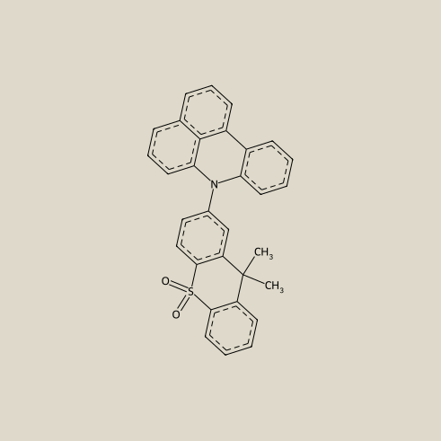 CC1(C)c2ccccc2S(=O)(=O)c2ccc(N3c4ccccc4-c4cccc5cccc3c45)cc21